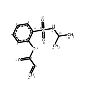 C=CC(=O)Oc1ccccc1S(=O)(=O)NC(C)C